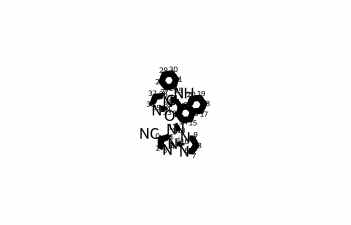 N#Cc1cnn(-c2ncccn2)c1/N=N/c1cc2ccccc2c(C(=O)Nc2ccccc2)c1Oc1ncccn1